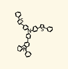 C1=c2c(n(-c3ccccc3)c3ccc(-c4ccc(N(c5ccc(-c6ccc(-c7ccccc7)s6)cc5)c5ccc(-c6ccc(-c7ccccc7)s6)cc5)cc4)cc23)=CCC1